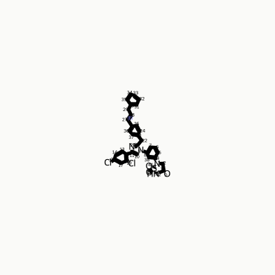 O=C1CN(c2cccc(-n3cc(-c4ccc(Cl)cc4Cl)nc3Cc3ccc(/C=C/Cc4ccccc4)cc3)c2)S(=O)(=O)N1